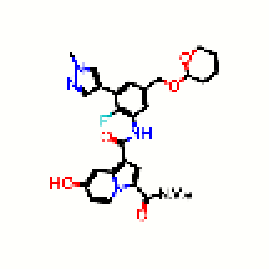 CNC(=O)c1cc(C(=O)Nc2cc(COC3CCCCO3)cc(-c3cnn(C)c3)c2F)c2cc(O)ccn12